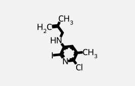 C=C(C)CNc1cc(C)c(Cl)nc1I